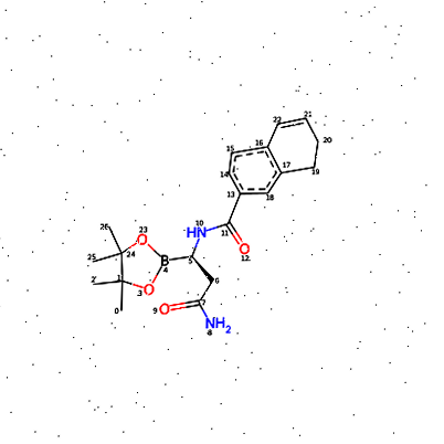 CC1(C)OB([C@H](CC(N)=O)NC(=O)c2ccc3c(c2)CCC=C3)OC1(C)C